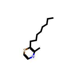 CCCCCCCCC1=C(C)[N]C=CS1